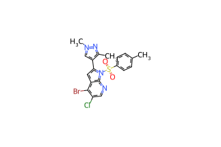 Cc1ccc(S(=O)(=O)n2c(-c3cn(C)nc3C)cc3c(Br)c(Cl)cnc32)cc1